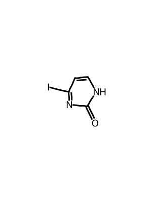 O=c1nc(I)cc[nH]1